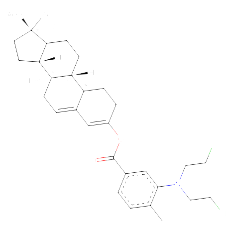 CC(=O)O[C@]1(C(C)=O)CC[C@H]2[C@@H]3CC=C4C=C(OC(=O)c5ccc(C)c(N(CCCl)CCCl)c5)CC[C@]4(C)[C@H]3CC[C@@]21C